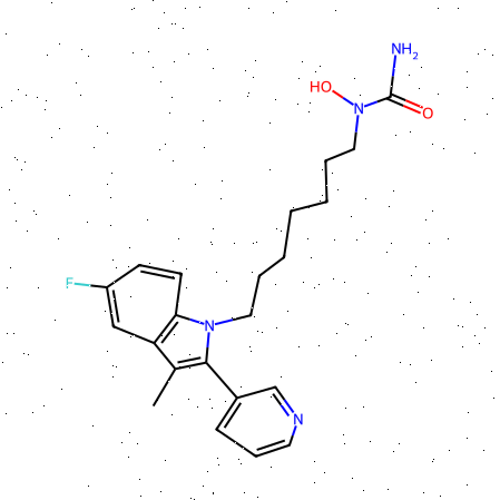 Cc1c(-c2cccnc2)n(CCCCCCCN(O)C(N)=O)c2ccc(F)cc12